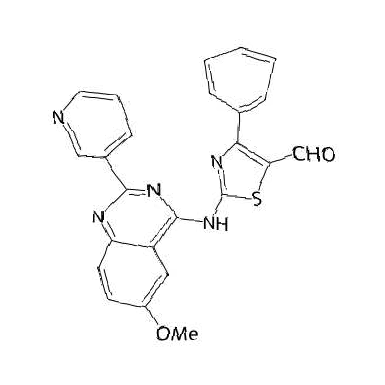 COc1ccc2nc(-c3cccnc3)nc(Nc3nc(-c4ccccc4)c(C=O)s3)c2c1